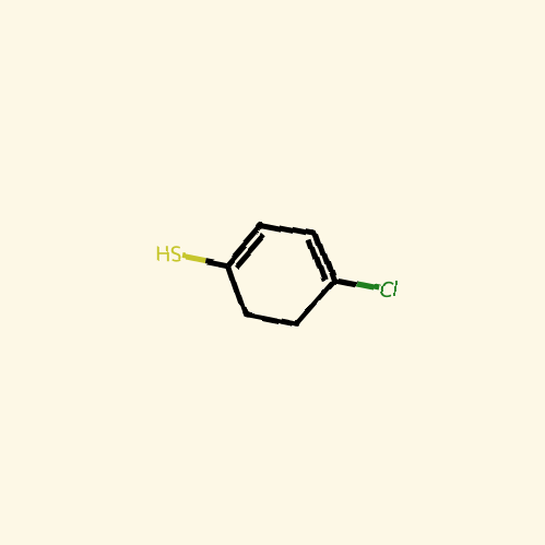 SC1=CC=C(Cl)CC1